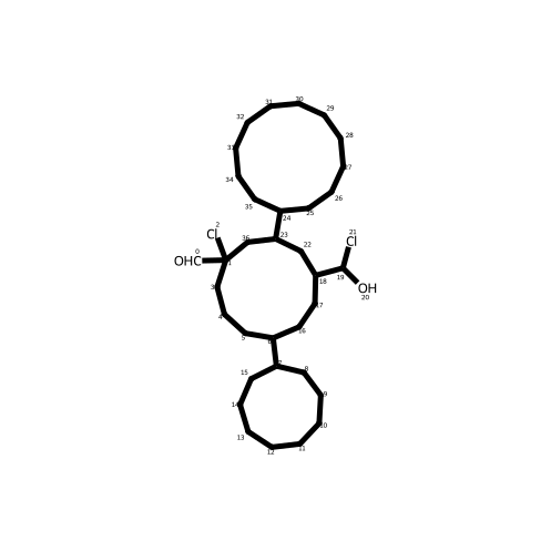 O=CC1(Cl)CCCC(C2CCCCCCCC2)CCC(C(O)Cl)CC(C2CCCCCCCCCCC2)C1